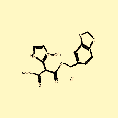 COC(=O)C(C(=O)OCc1ccc2c(c1)OCO2)c1[nH]cc[n+]1C.[Cl-]